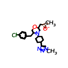 Cn1cc(C2CCC(N3CC(C[S+](C)[O-])OCC3Cc3ccc(Cl)cc3)CC2)nn1